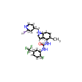 Cc1ccc2c(ccn2Cc2ccnc(I)c2)c1NC(=O)Nc1cc(C(F)(F)F)ccc1F